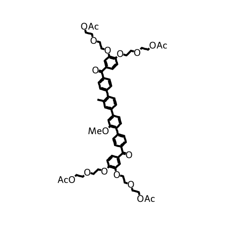 COc1cc(-c2ccc(-c3ccc(C(=O)c4ccc(OCCOCCOC(C)=O)c(OCCOCCOC(C)=O)c4)cc3)c(C)c2)ccc1-c1ccc(C(=O)c2ccc(OCCOCCOC(C)=O)c(OCCOCCOC(C)=O)c2)cc1